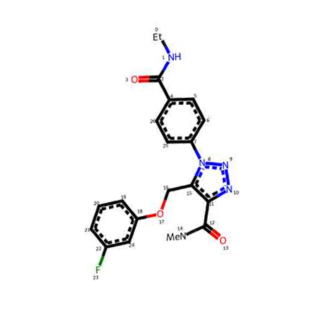 CCNC(=O)c1ccc(-n2nnc(C(=O)NC)c2COc2cccc(F)c2)cc1